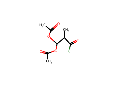 CC(=O)OC(OC(C)=O)C(C)C(=O)Cl